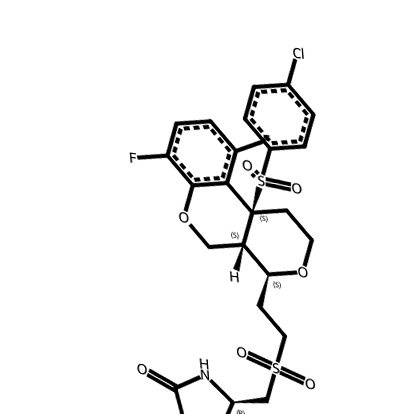 O=C1CC[C@H](CS(=O)(=O)CC[C@@H]2OCC[C@@]3(S(=O)(=O)c4ccc(Cl)cc4)c4c(F)ccc(F)c4OC[C@@H]23)N1